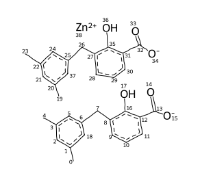 Cc1cc(C)cc(Cc2cccc(C(=O)[O-])c2O)c1.Cc1cc(C)cc(Cc2cccc(C(=O)[O-])c2O)c1.[Zn+2]